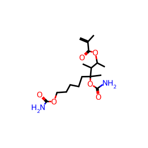 C=C(C)C(=O)OC(C)C(C)C(C)(CCCCCOC(N)=O)OC(N)=O